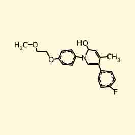 COCCOc1ccc(N2C=C(c3ccc(F)cc3)C(C)=CC2O)cc1